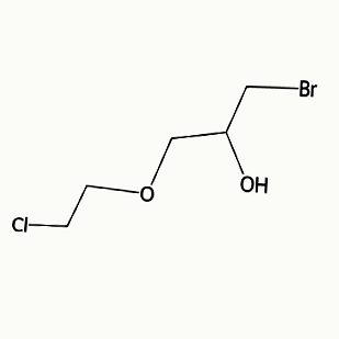 OC(CBr)COCCCl